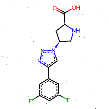 O=C(O)[C@@H]1C[C@H](n2cc(-c3cc(F)cc(F)c3)nn2)CN1